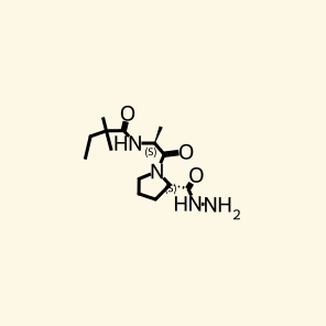 CCC(C)(C)C(=O)N[C@@H](C)C(=O)N1CCC[C@H]1C(=O)NN